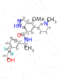 COc1c(C2CCCN(C)C2)cc(C(=O)NC(C)c2cccc(C(F)(F)CO)c2)c2[nH]ncc12